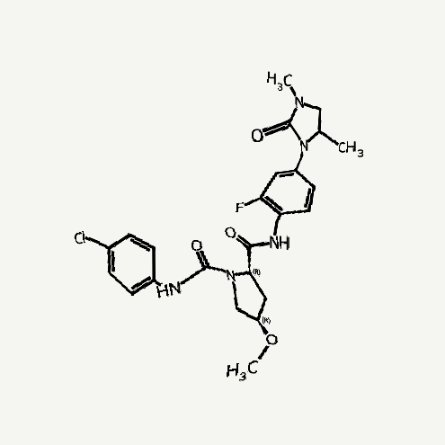 CO[C@@H]1C[C@H](C(=O)Nc2ccc(N3C(=O)N(C)CC3C)cc2F)N(C(=O)Nc2ccc(Cl)cc2)C1